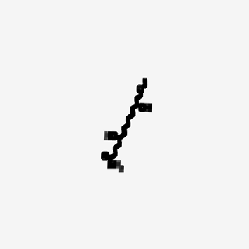 CCOCCC(O)C=CCCC=CC(O)CCCC(N)=O